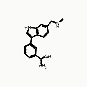 CNCc1ccc2c(-c3cccc(C(N)S)c3)c[nH]c2c1